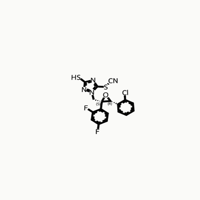 N#CSc1nc(S)nn1C[C@]1(c2ccc(F)cc2F)O[C@@H]1c1ccccc1Cl